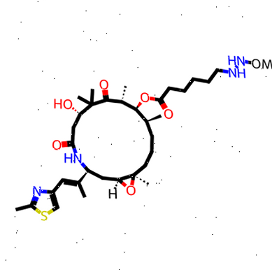 CONNCCCCCC(=O)O[C@H]1[C@@H](C)CCC[C@@]2(C)O[C@H]2C[C@@H](/C(C)=C/c2csc(C)n2)NC(=O)C[C@H](O)C(C)(C)C(=O)[C@@H]1C